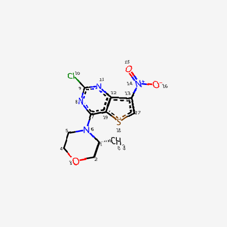 C[C@@H]1COCCN1c1nc(Cl)nc2c([N+](=O)[O-])csc12